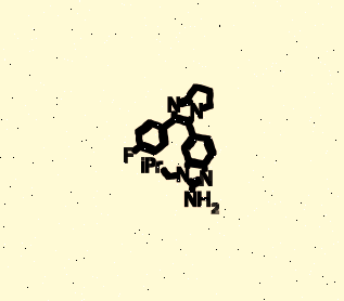 CC(C)Cn1c(N)nc2ccc(-c3c(-c4ccc(F)cc4)nc4n3CCC4)cc21